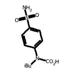 CCC(C)N(C(=O)O)c1ccc(S(N)(=O)=O)cc1